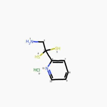 Cl.NCC(S)(S)c1ccccn1